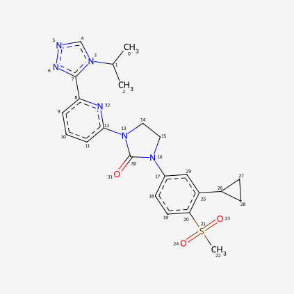 CC(C)n1cnnc1-c1cccc(N2CCN(c3ccc(S(C)(=O)=O)c(C4CC4)c3)C2=O)n1